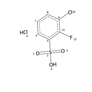 Cl.O=S(=O)(O)c1cccc(Cl)c1F